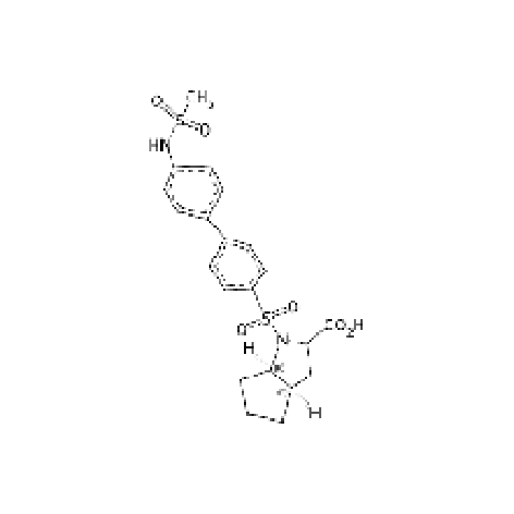 CS(=O)(=O)Nc1ccc(-c2ccc(S(=O)(=O)N3C(C(=O)O)C[C@H]4CCC[C@H]43)cc2)cc1